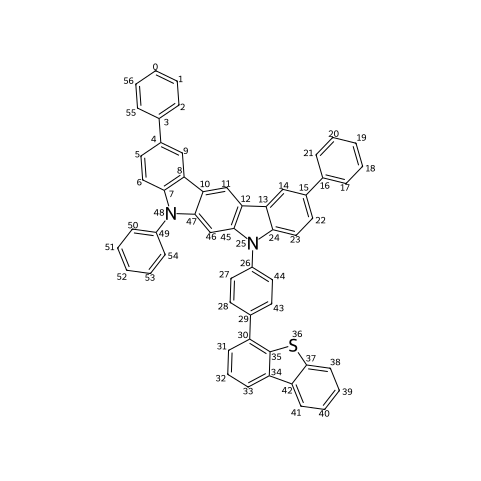 c1ccc(-c2ccc3c(c2)c2cc4c5cc(-c6ccccc6)ccc5n(-c5ccc(-c6cccc7c6sc6ccccc67)cc5)c4cc2n3-c2ccccc2)cc1